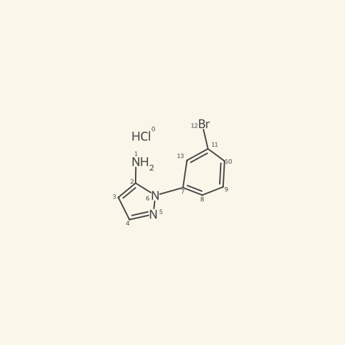 Cl.Nc1ccnn1-c1cccc(Br)c1